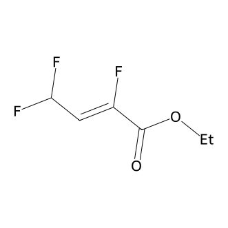 CCOC(=O)/C(F)=C/C(F)F